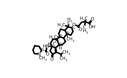 CC(C)C1=C2[C@H]3CCC4[C@@]5(C)CC[C@H](OC(=O)CC(C)(C)C(=O)O)C(C)(C)C5CC[C@@]4(C)[C@]3(C)CC[C@@]2(NC(=O)[C@H]2CCCCN2C)CC1=O